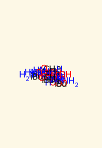 CC[C@H](C)[C@H](NC(=O)[C@@H](CCc1ccccc1)NC)C(=O)N[C@@H](CO)C(=O)N[C@H](CCC(N)=O)C(=O)N[C@@H](C(=O)N[C@H](C(=O)N[C@@H](CO)C(=O)N[C@H]1C(=O)N[C@@H](C)C(=O)N[C@@H](Cc2ccc(NC(=N)N)cc2)C(=O)N[C@@H]([C@@H](C)CC)C(=O)O[C@H]1C)[C@@H](C)CC)[C@@H](C)CC